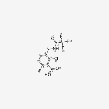 O=C(O)c1c(F)ccc(CNC(=O)C(F)(F)F)c1Cl